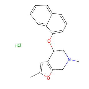 Cc1cc2c(o1)CN(C)CC2Oc1cccc2ccccc12.Cl